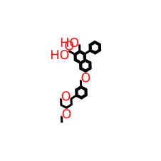 CCOC1CCOC(c2cccc(COc3ccc4c(-c5ccccc5)c(CO)c(C(=O)O)cc4c3)c2)C1